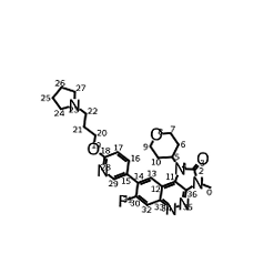 Cn1c(=O)n(C2CCOCC2)c2c3cc(-c4ccc(OCCCN5CCCC5)nc4)c(F)cc3nnc21